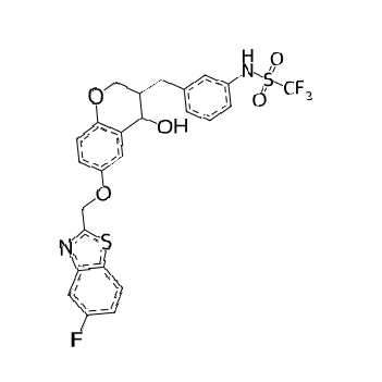 O=S(=O)(Nc1cccc(CC2COc3ccc(OCc4nc5cc(F)ccc5s4)cc3C2O)c1)C(F)(F)F